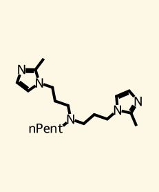 CCCCCN(CCCn1ccnc1C)CCCn1ccnc1C